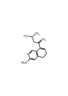 C=C(CN(C)C)C1=CCCc2cc(OC)ncc21